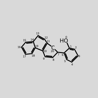 Oc1ccccc1C1C=Cc2c(ccc3ccccc23)C1